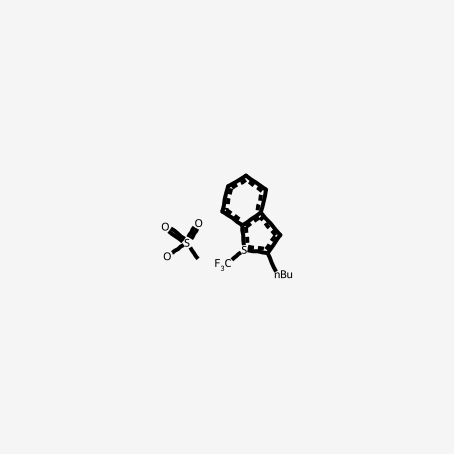 CCCCc1cc2ccccc2[s+]1C(F)(F)F.CS(=O)(=O)[O-]